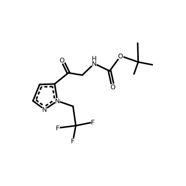 CC(C)(C)OC(=O)NCC(=O)c1ccnn1CC(F)(F)F